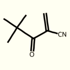 C=C(C#N)C(=O)C(C)(C)C